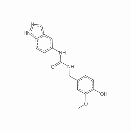 COc1cc(CNC(=O)Nc2ccc3[nH]ncc3c2)ccc1O